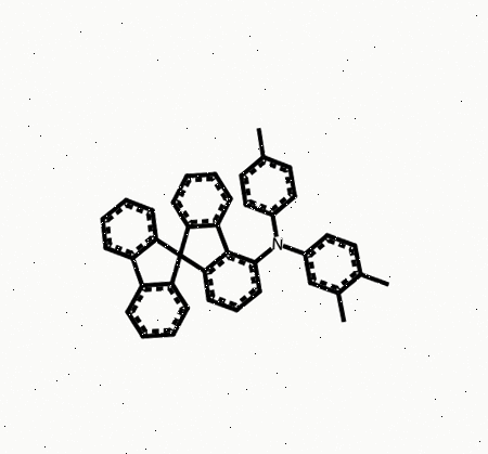 Cc1ccc(N(c2ccc(C)c(C)c2)c2cccc3c2-c2ccccc2C32c3ccccc3-c3ccccc32)cc1